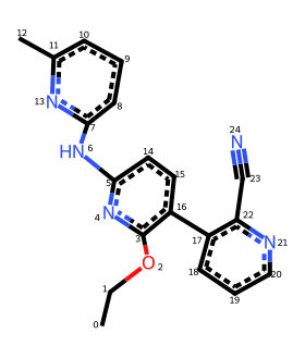 CCOc1nc(Nc2cccc(C)n2)ccc1-c1cccnc1C#N